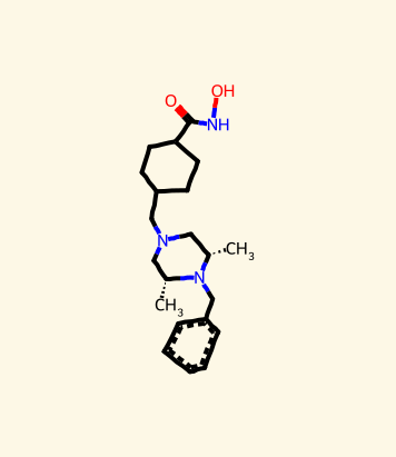 C[C@@H]1CN(CC2CCC(C(=O)NO)CC2)C[C@H](C)N1Cc1ccccc1